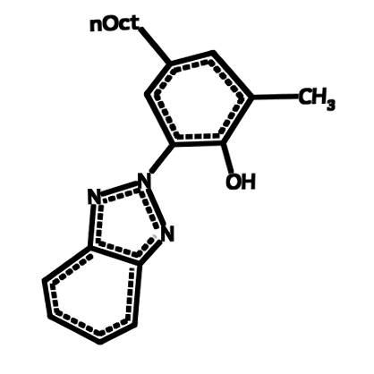 CCCCCCCCc1cc(C)c(O)c(-n2nc3ccccc3n2)c1